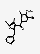 COc1c(Br)cc(C(=O)c2c(Cc3ccccc3)oc(C)c2C)cc1Br